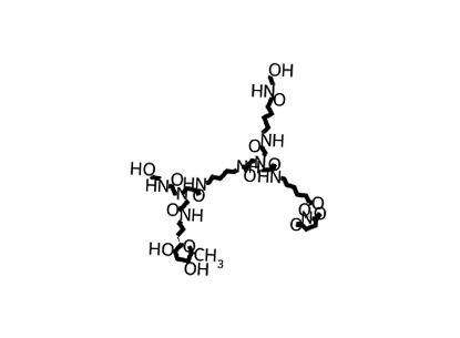 C[C@@H]1O[C@@H](CCCNC(=O)CN(CC(=O)NCCO)CC(=O)NCCCCCNC(=O)CN(CC(=O)NCCCCCC(=O)NCCO)CC(=O)NCCCCCC(=O)ON2C(=O)CCC2=O)[C@@H](O)C[C@@H]1O